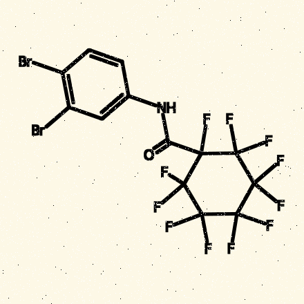 O=C(Nc1ccc(Br)c(Br)c1)C1(F)C(F)(F)C(F)(F)C(F)(F)C(F)(F)C1(F)F